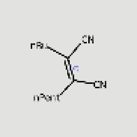 CCCCC/C(C#N)=C(/C#N)CCCC